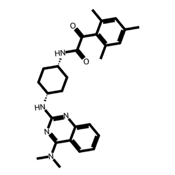 Cc1cc(C)c(C(=O)C(=O)N[C@H]2CC[C@@H](Nc3nc(N(C)C)c4ccccc4n3)CC2)c(C)c1